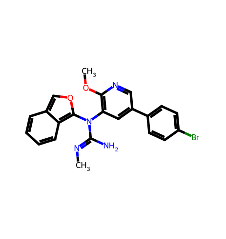 CN=C(N)N(c1cc(-c2ccc(Br)cc2)cnc1OC)c1occ2ccccc12